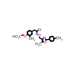 CCC(Cc1ccc(OCC(=O)O)c(C)c1)=NOCc1nc(-c2ccc(C)cc2)oc1C